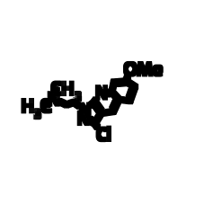 COc1ccc2cc3c(Cl)nn(CCN(C)C)c3nc2c1